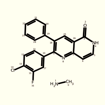 CN.O=c1[nH]ccc2nc(-c3ccc(Cl)c(F)c3)c(-c3ccccc3)cc12